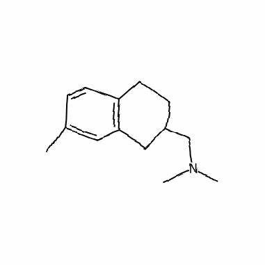 Cc1ccc2c(c1)CC(CN(C)C)CC2